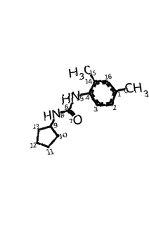 Cc1ccc(NC(=O)NC2CCCC2)c(C)c1